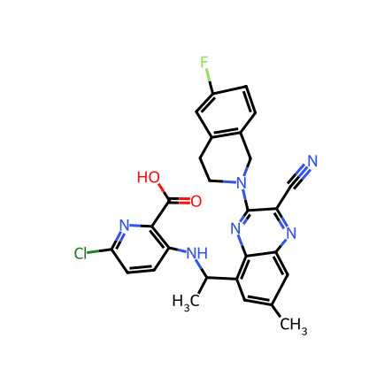 Cc1cc(C(C)Nc2ccc(Cl)nc2C(=O)O)c2nc(N3CCc4cc(F)ccc4C3)c(C#N)nc2c1